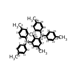 Cc1ccc(N(c2ccc(C)cc2)c2cc(C)cc(N(c3ccc(C)cc3)c3ccc(C)cc3)c2Cl)cc1